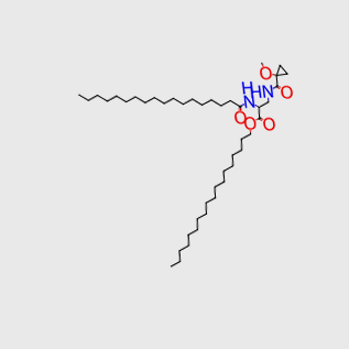 CCCCCCCCCCCCCCCCCCOC(=O)C(CNC(=O)C1(OC)CC1)NC(=O)CCCCCCCCCCCCCCCCC